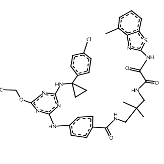 Cc1cccc2sc(NC(=O)C(=O)NCC(C)(C)CNC(=O)c3ccc(Nc4nc(NC5(c6ccc(Cl)cc6)CC5)nc(OCC(F)(F)F)n4)cc3)nc12